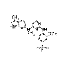 COc1cc([SH](=O)=O)ccc1Nc1nccc(N(C)c2ccc3c(C)n[nH]c3c2)n1